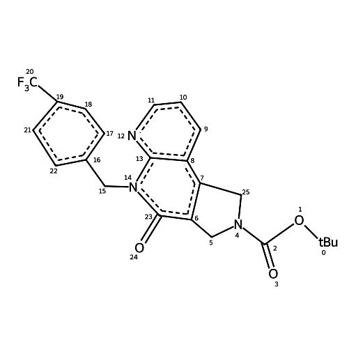 CC(C)(C)OC(=O)N1Cc2c(c3cccnc3n(Cc3ccc(C(F)(F)F)cc3)c2=O)C1